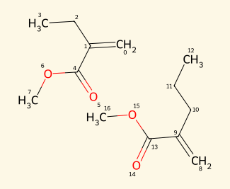 C=C(CC)C(=O)OC.C=C(CCC)C(=O)OC